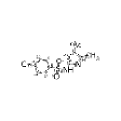 CC(=O)c1sc(NS(=O)(=O)c2ccc(Cl)cc2)nc1C